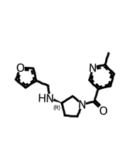 Cc1ccc(C(=O)N2CC[C@@H](NCc3ccoc3)C2)cn1